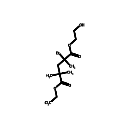 CCC(C)(CC(C)(C)C(=O)OCC(Cl)(Cl)Cl)C(=O)OCCO